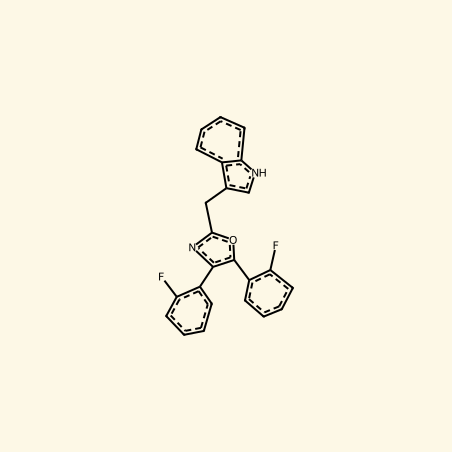 Fc1ccccc1-c1nc(Cc2c[nH]c3ccccc23)oc1-c1ccccc1F